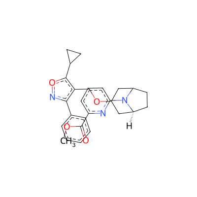 COC(=O)c1cccc(N2C3CC[C@H]2CC(OCc2c(-c4ccccc4)noc2C2CC2)C3)n1